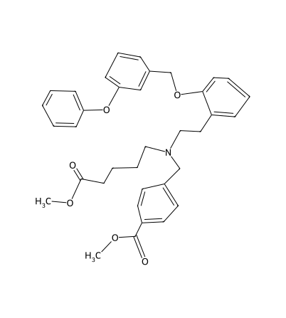 COC(=O)CCCCN(CCc1ccccc1OCc1cccc(Oc2ccccc2)c1)Cc1ccc(C(=O)OC)cc1